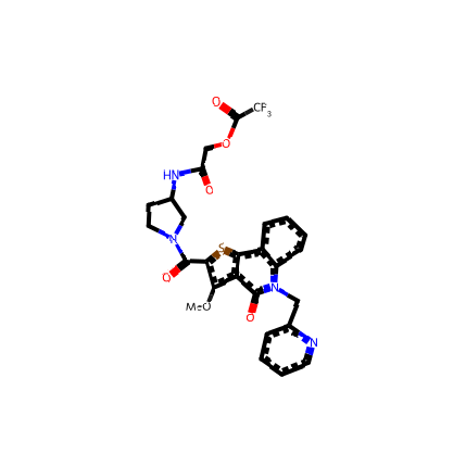 COc1c(C(=O)N2CCC(NC(=O)COC(=O)C(F)(F)F)C2)sc2c1c(=O)n(Cc1ccccn1)c1ccccc21